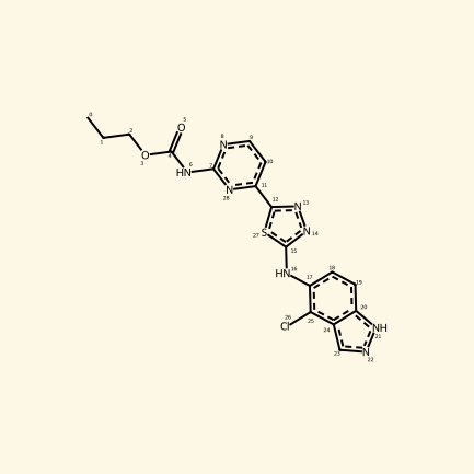 CCCOC(=O)Nc1nccc(-c2nnc(Nc3ccc4[nH]ncc4c3Cl)s2)n1